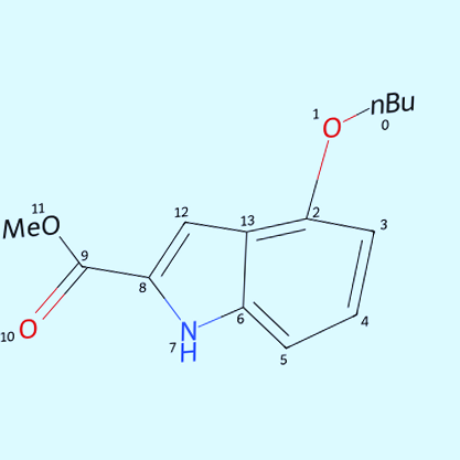 CCCCOc1cccc2[nH]c(C(=O)OC)cc12